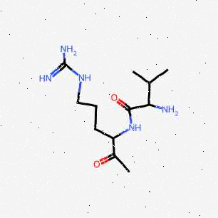 CC(=O)C(CCCNC(=N)N)NC(=O)C(N)C(C)C